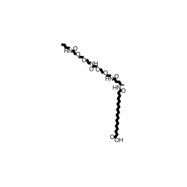 CCCCNC(=O)COCCOCCNC(=O)COCCOCCNC(=O)CC[C@@H](C)NC(=O)CCCCCCCCCCCCCCCCC(=O)O